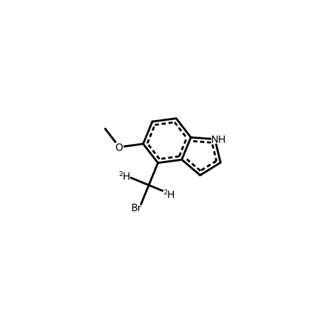 [2H]C([2H])(Br)c1c(OC)ccc2[nH]ccc12